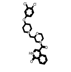 O=C(c1c[nH]c(=O)c2ccccc12)N1CCOC(CN2CCC(Oc3ccc(Cl)c(Cl)c3)CC2)C1